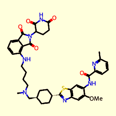 COc1cc2nc([C@H]3CC[C@H](CN(C)CCCCNc4cccc5c4C(=O)N(C4CCC(=O)NC4=O)C5=O)CC3)sc2cc1NC(=O)c1cccc(C)n1